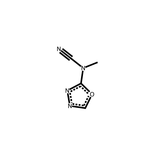 CN(C#N)c1nnco1